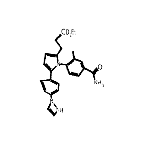 CCOC(=O)CCc1ccc(-c2ccc(-n3cc[nH]3)cc2)n1-c1ccc(C(N)=O)cc1C